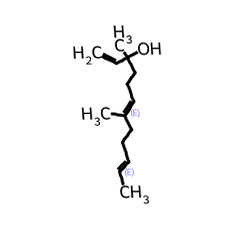 C=CC(C)(O)CC/C=C(\C)CC/C=C/C